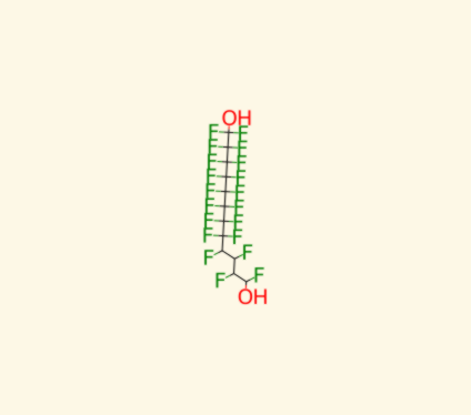 OC(F)C(F)C(F)C(F)C(F)(F)C(F)(F)C(F)(F)C(F)(F)C(F)(F)C(F)(F)C(F)(F)C(O)(F)F